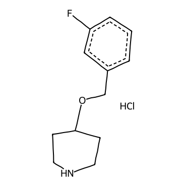 Cl.Fc1cccc(COC2CCNCC2)c1